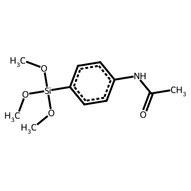 CO[Si](OC)(OC)c1ccc(NC(C)=O)cc1